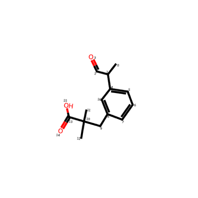 CC(C=O)c1cccc(CC(C)(C)C(=O)O)c1